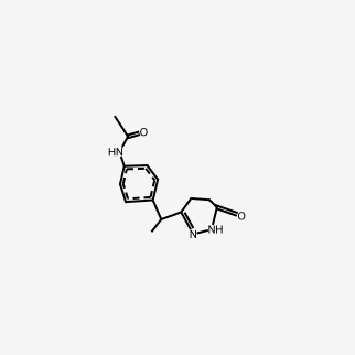 CC(=O)Nc1ccc(C(C)C2=NNC(=O)CC2)cc1